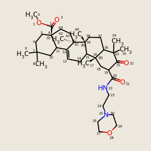 COC(=O)[C@]12CCC(C)(C)CC1C1=CCC3[C@@]4(C)CC(C(=O)NCCN5CCOCC5)C(=O)C(C)(C)C4CC[C@@]3(C)[C@]1(C)CC2